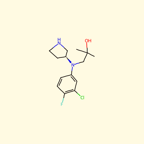 CC(C)(O)CN(c1ccc(F)c(Cl)c1)[C@H]1CCNC1